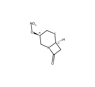 O=C1C[C@@H]2SC[C@H](O[N+](=O)[O-])CN12